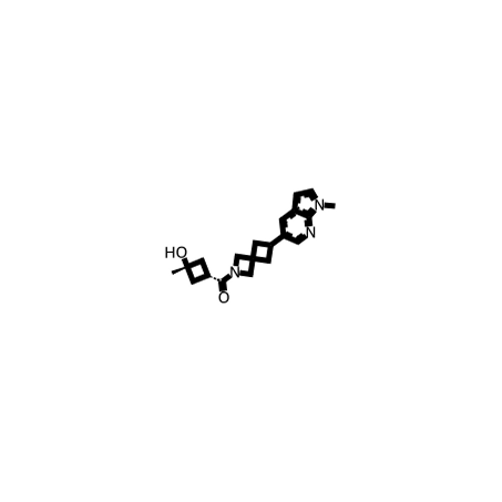 Cn1ccc2cc(C3CC4(C3)CN(C(=O)[C@H]3C[C@@](C)(O)C3)C4)cnc21